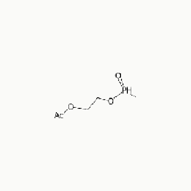 CC(=O)OCCO[PH](C)=O